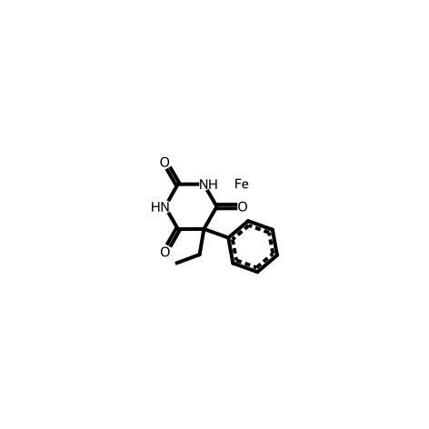 CCC1(c2ccccc2)C(=O)NC(=O)NC1=O.[Fe]